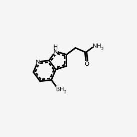 Bc1ccnc2[nH]c(CC(N)=O)cc12